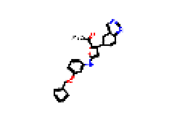 COC(=O)c1oc(Nc2cccc(OCc3ccccc3)c2)cc1-c1ccc2ncncc2c1